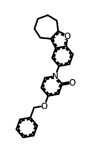 O=c1cc(OCc2ccccc2)ccn1-c1ccc2oc3c(c2c1)CCCCC3